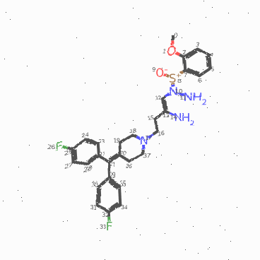 COc1ccccc1[S+]([O-])N(N)/C=C(\N)CCN1CCC(=C(c2ccc(F)cc2)c2ccc(F)cc2)CC1